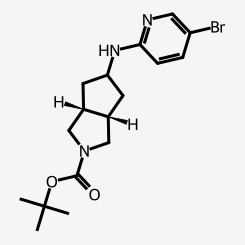 CC(C)(C)OC(=O)N1C[C@H]2CC(Nc3ccc(Br)cn3)C[C@H]2C1